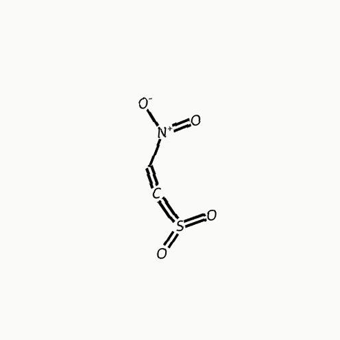 O=[N+]([O-])C=C=S(=O)=O